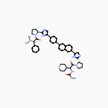 CCN(CC)[C@@H](C(=O)N1CCC[C@H]1c1ncc(-c2ccc(-c3ccc4cc(-c5cnc([C@@H]6CCCN6C(=O)C(NC(=O)OC)C6CCOCC6)[nH]5)ccc4c3)cc2)[nH]1)c1ccccc1